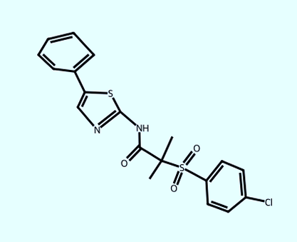 CC(C)(C(=O)Nc1ncc(-c2ccccc2)s1)S(=O)(=O)c1ccc(Cl)cc1